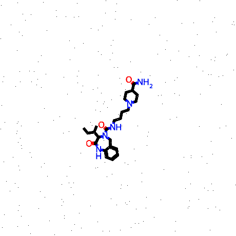 CCC(C)C1C(=O)Nc2ccccc2CN1C(=O)NCCCCN1CCC(C(N)=O)CC1